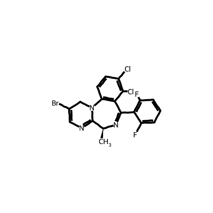 C[C@@H]1N=C(c2c(F)cccc2F)c2c(ccc(Cl)c2Cl)N2CC(Br)=CN=C12